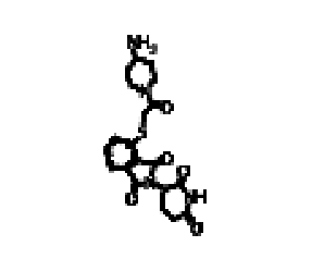 NC1CCN(C(=O)CSc2cccc3c2C(=O)N(C2CCC(=O)NC2=O)C3=O)CC1